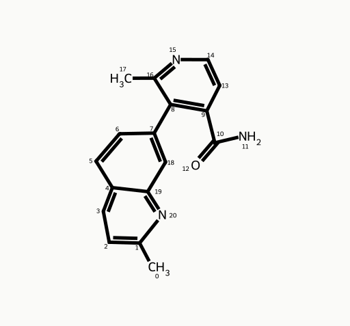 Cc1ccc2ccc(-c3c(C(N)=O)ccnc3C)cc2n1